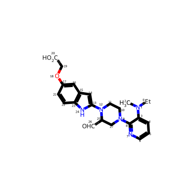 CCN(C)c1cccnc1N1CCN(c2cc3cc(OCC(=O)O)ccc3[nH]2)C(C=O)C1